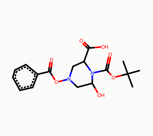 CC(C)(C)OC(=O)N1C(O)CN(OC(=O)c2ccccc2)CC1C(=O)O